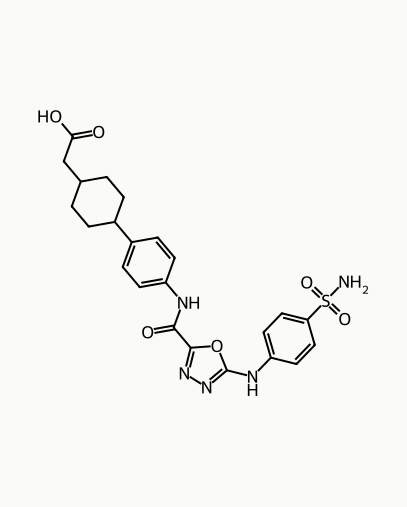 NS(=O)(=O)c1ccc(Nc2nnc(C(=O)Nc3ccc(C4CCC(CC(=O)O)CC4)cc3)o2)cc1